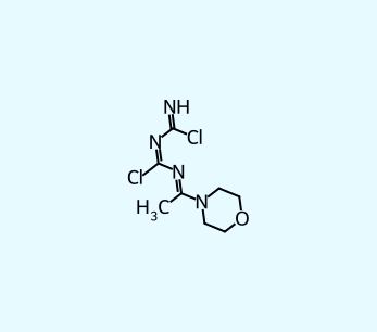 C/C(=N\C(Cl)=N/C(=N)Cl)N1CCOCC1